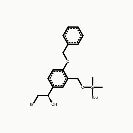 CC(C)(C)[Si](C)(C)OCc1cc([C@@H](O)CBr)ccc1OCc1ccccc1